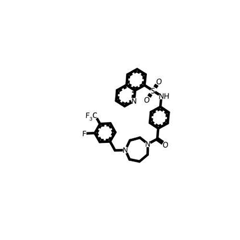 O=C(c1ccc(NS(=O)(=O)c2cccc3cccnc23)cc1)N1CCCN(Cc2ccc(C(F)(F)F)c(F)c2)CC1